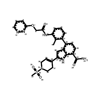 Cc1c(NC(=O)COc2cccnn2)cccc1-c1ccc(C(N)=O)c2[nH]c(C3=CCN(S(C)(=O)=O)CC3)cc12